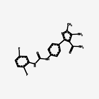 Cn1nc(-c2ccc(NC(=O)Nc3cc(F)ccc3F)cc2)c(C(N)=O)c1N